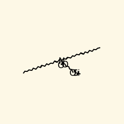 CCCCCCCCC=CCCCCCC=CCN(CC=CCCCCCC=CCCCCCCCC)C(=O)OCCCCO[Si](C)(C)C(C)(C)C